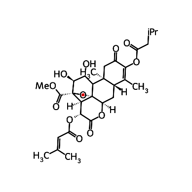 COC(=O)[C@@]12OC[C@]34C([C@@H](O)[C@@H]1O)[C@@]1(C)CC(=O)C(OC(=O)CC(C)C)=C(C)[C@@H]1C[C@H]3OC(=O)[C@H](OC(=O)C=C(C)C)[C@@H]24